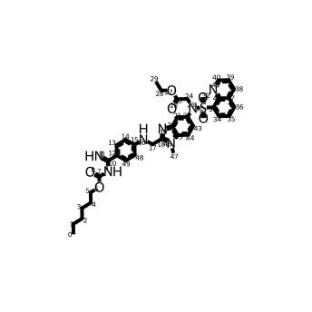 CCCCCCOC(=O)NC(=N)c1ccc(NCc2nc3cc(N(CC(=O)OCC)S(=O)(=O)c4cccc5cccnc45)ccc3n2C)cc1